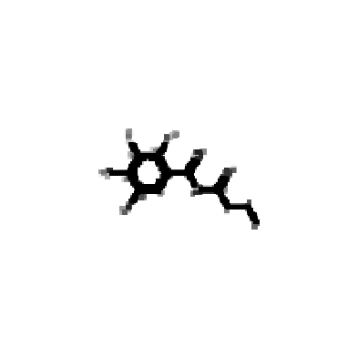 CCCC(=O)OC(=O)c1cc(F)c(F)c(F)c1F